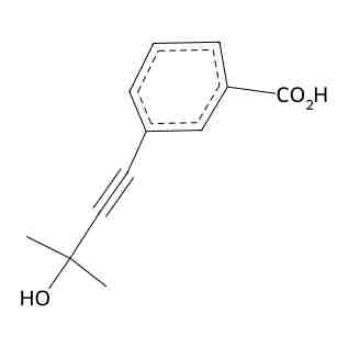 CC(C)(O)C#Cc1cccc(C(=O)O)c1